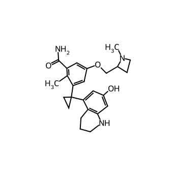 Cc1c(C(N)=O)cc(OCC2CCN2C)cc1C1(c2cc(O)cc3c2CCCN3)CC1